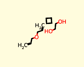 C1CCC1.C=CCOCC=C.OCCO